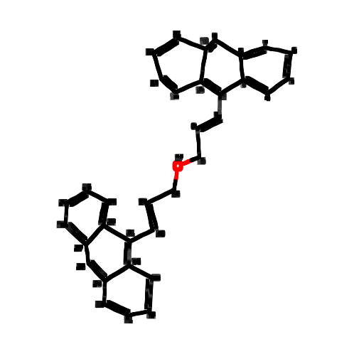 C(=Cc1c2ccccc2cc2ccccc12)COCC=Cc1c2ccccc2cc2ccccc12